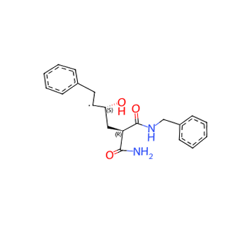 NC(=O)[C@@H](C[C@@H](O)[CH]Cc1ccccc1)C(=O)NCc1ccccc1